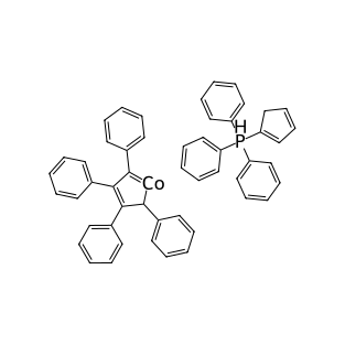 C1=CCC([PH](c2ccccc2)(c2ccccc2)c2ccccc2)=C1.c1ccc([C]2=[Co][CH](c3ccccc3)C(c3ccccc3)=C2c2ccccc2)cc1